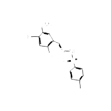 COc1cc(/C=N/NS(=O)(=O)c2ccc(C)cc2)c(Br)cc1F